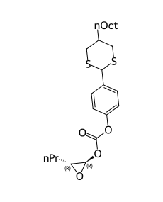 CCCCCCCCC1CSC(c2ccc(OC(=O)O[C@H]3O[C@@H]3CCC)cc2)SC1